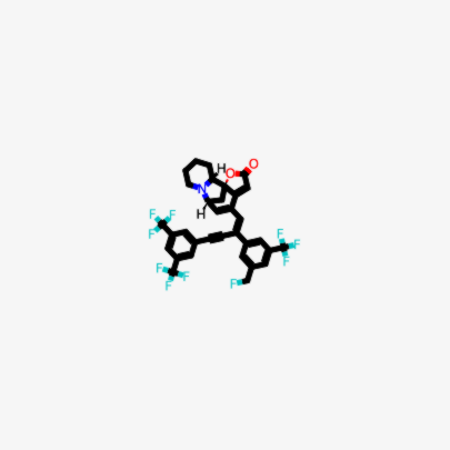 O=C1C=C2C(/C=C(\C#Cc3cc(C(F)(F)F)cc(C(F)(F)F)c3)c3cc(CF)cc(C(F)(F)F)c3)=C[C@@H]3C[C@@]2(O1)[C@H]1CCCCN31